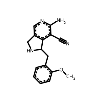 COc1ccccc1CC1NCc2cnc(N)c(C#N)c21